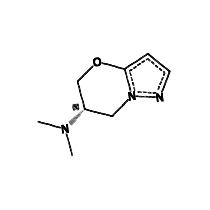 CN(C)[C@@H]1COc2ccnn2C1